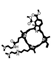 C=Cc1c(C)c2cc3nc(cc4[nH]c(cc5nc(cc1[nH]2)C(C)=C5CCCNCCN(C)C)c(CCC(=O)NCCN(C)C)c4C)[C@@]1(C)C3=CC=C(C(=O)OC)[C@H]1C(=O)OC